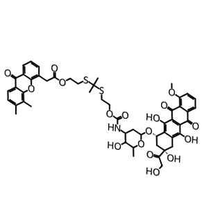 COc1cccc2c1C(=O)c1c(O)c3c(c(O)c1C2=O)C[C@@](O)(C(=O)CO)C[C@@H]3OC1CC(NC(=O)OCCSC(C)(C)SCCOC(=O)Cc2cccc3c(=O)c4ccc(C)c(C)c4oc23)C(O)C(C)O1